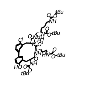 CN1C(=O)[C@H](CCCNC(=O)OC(C)(C)C)NC(=O)[C@@H](NC(=O)OC(C)(C)C)Cc2cc(ccc2O)-c2ccc(Cl)c(c2)C[C@H]1C(=O)NC[C@H](CCCNC(=O)OC(C)(C)C)NC(=O)OC(C)(C)C